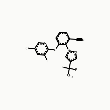 CC(F)(F)c1cnn(-c2c(C#N)cccc2Oc2ncc(Cl)cc2F)c1